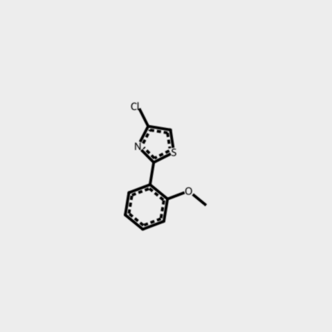 COc1ccccc1-c1nc(Cl)cs1